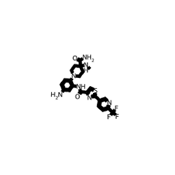 CNC1(C(N)=O)CCN(c2ccc(N)cc2NC(=O)c2csc(-c3ccc(C(F)(F)F)nc3)n2)CC1